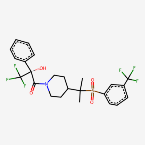 CC(C)(C1CCN(C(=O)[C@](O)(c2ccccc2)C(F)(F)F)CC1)S(=O)(=O)c1cccc(C(F)(F)F)c1